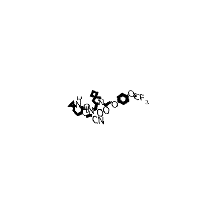 N#C[C@H](C[C@@H]1CCC2(CC2)NC1=O)NC(=O)C1CC2(CCC2)CN1C(=O)COc1ccc(OC(F)(F)F)cc1